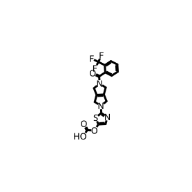 O=C(O)Oc1cnc(N2CC3=C(CN(C(=O)c4ccccc4C(F)(F)F)C3)C2)s1